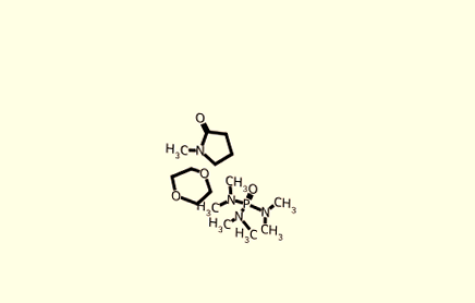 C1COCCO1.CN(C)P(=O)(N(C)C)N(C)C.CN1CCCC1=O